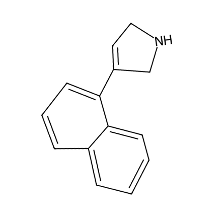 C1=C(c2cccc3ccccc23)CNC1